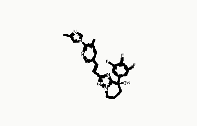 Cc1cn(-c2ncc(/C=C/c3nc4n(n3)CCC[C@@]4(O)c3cc(F)c(F)c(F)c3)cc2C)cn1